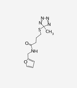 CC1(SCCCC(=O)NCc2ccco2)N=NN=N1